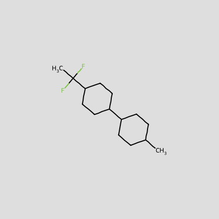 CC1CCC(C2CCC(C(C)(F)F)CC2)CC1